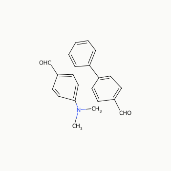 CN(C)c1ccc(C=O)cc1.O=Cc1ccc(-c2ccccc2)cc1